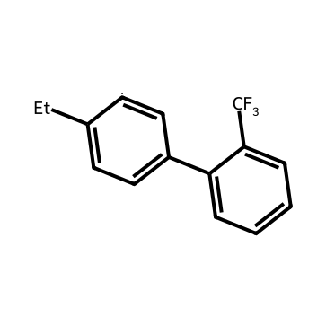 CCc1[c]cc(-c2ccccc2C(F)(F)F)cc1